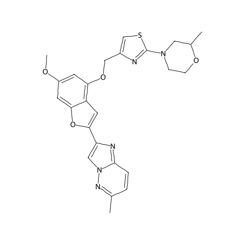 COc1cc(OCc2csc(N3CCOC(C)C3)n2)c2cc(-c3cn4nc(C)ccc4n3)oc2c1